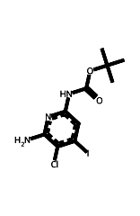 CC(C)(C)OC(=O)Nc1cc(I)c(Cl)c(N)n1